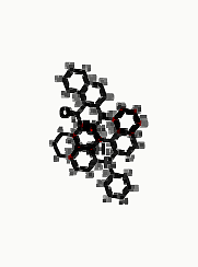 O=C(N[C@H]1CCCC[C@@H]1NC(=O)c1c(P(c2ccccc2)c2ccccc2)ccc2ccccc12)c1c(P(c2ccccc2)c2ccccc2)ccc2ccccc12